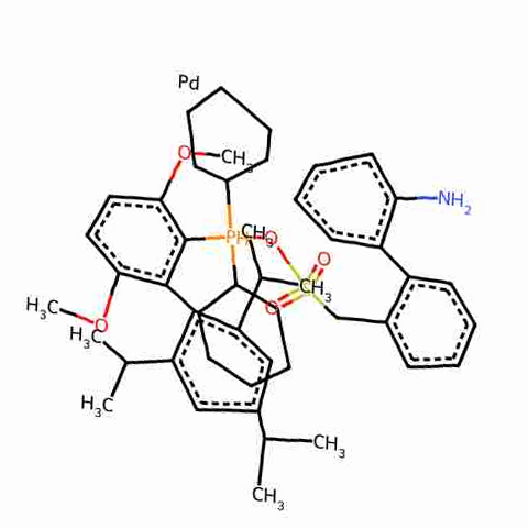 COc1ccc(OC)c([PH](OS(=O)(=O)Cc2ccccc2-c2ccccc2N)(C2CCCCC2)C2CCCCC2)c1-c1c(C(C)C)cc(C(C)C)cc1C(C)C.[Pd]